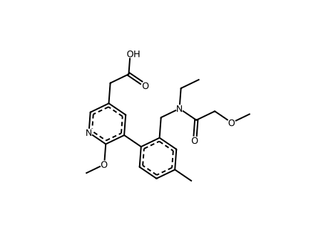 CCN(Cc1cc(C)ccc1-c1cc(CC(=O)O)cnc1OC)C(=O)COC